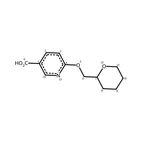 O=C(O)c1ccc(OCC2CCCCO2)nc1